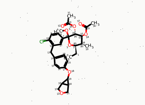 CC[C@H]1OC(OC)(c2ccc(Cl)c(Cc3ccc(OC4C5COCC54)cc3)c2)[C@H](OC(C)=O)[C@@H](OC(C)=O)[C@@H]1C